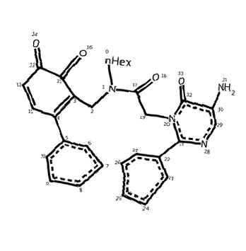 CCCCCCN(CC1=C(c2ccccc2)C=CC(=O)C1=O)C(=O)Cn1c(-c2ccccc2)ncc(N)c1=O